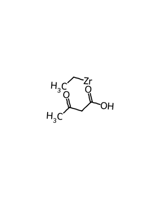 CC(=O)CC(=O)O.C[CH2][Zr]